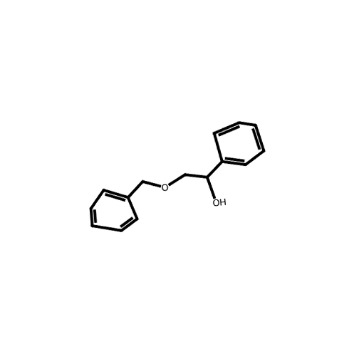 OC(COCc1ccccc1)c1ccccc1